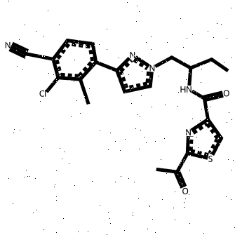 CCC(Cn1ccc(-c2ccc(C#N)c(Cl)c2C)n1)NC(=O)c1csc(C(C)=O)n1